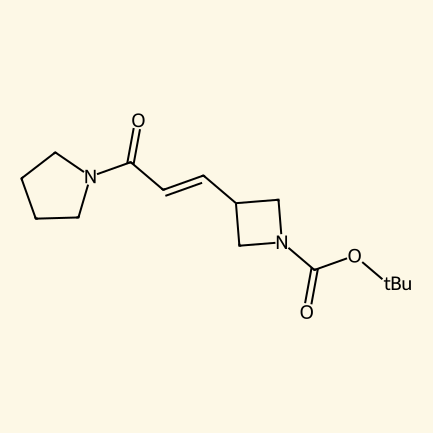 CC(C)(C)OC(=O)N1CC(C=CC(=O)N2CCCC2)C1